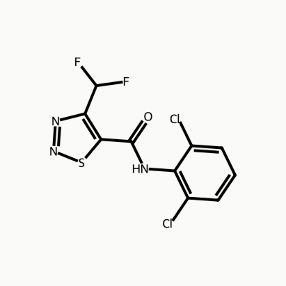 O=C(Nc1c(Cl)cccc1Cl)c1snnc1C(F)F